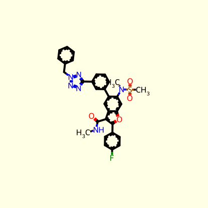 CNC(=O)c1c(-c2ccc(F)cc2)oc2cc(N(C)S(C)(=O)=O)c(-c3cccc(-c4nnn(Cc5ccccc5)n4)c3)cc12